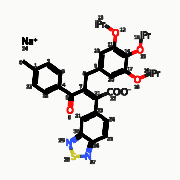 Cc1ccc(C(=O)C(Cc2cc(OC(C)C)c(OC(C)C)c(OC(C)C)c2)=C(C(=O)[O-])c2ccc3nsnc3c2)cc1.[Na+]